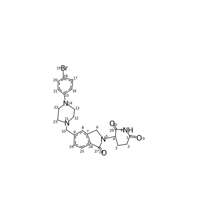 O=C1CCC(N2Cc3cc(CN4CCN(c5ccc(Br)cc5)CC4)ccc3C2=O)C(=O)N1